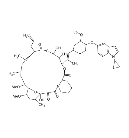 C=CCC1/C=C(\C)CC(C)CC(OC)C2OC(O)(C(=O)C(=O)N3CCCCC3C(=O)OC(C(C)=CC3CCC(Oc4ccc5c(ccn5C5CC5)c4)C(OCC)C3)C(C)C(O)CC1=O)C(C)CC2OC